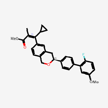 COC(=O)/C(C)=C(\c1ccc2c(c1)C[C@@H](c1ccc(-c3cc(OC)ccc3F)cc1)OC2)C1CC1